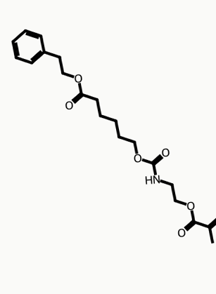 C=C(C)C(=O)OCCNC(=O)OCCCCCC(=O)OCCc1ccccc1